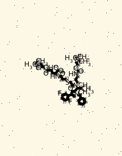 CC(C)(C)C(c1cc(-c2cc(F)ccc2F)cn1Cc1ccccc1)N(CCCNC(=O)OCC[Si](C)(C)C)C(=O)CSCCC(=O)NC(CCC(=O)OCC[Si](C)(C)C)C(=O)O